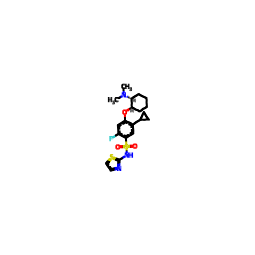 CN(C)[C@@H]1CCCC[C@H]1Oc1cc(F)c(S(=O)(=O)Nc2nccs2)cc1C1CC1